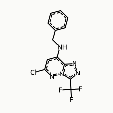 FC(F)(F)c1nnc2c(NCc3ccccc3)cc(Cl)nn12